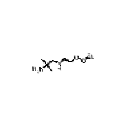 CCOOCCNCC(C)(C)N